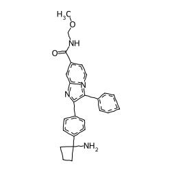 COCNC(=O)c1ccn2c(-c3ccccc3)c(-c3ccc(C4(N)CCC4)cc3)nc2c1